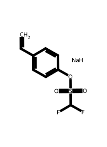 C=Cc1ccc(OS(=O)(=O)C(F)F)cc1.[NaH]